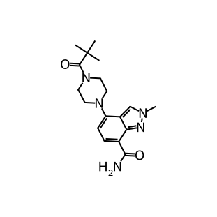 Cn1cc2c(N3CCN(C(=O)C(C)(C)C)CC3)ccc(C(N)=O)c2n1